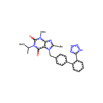 CCCCc1nc2c(c(=O)n(C(C)OC)c(=O)n2OC)n1Cc1ccc(-c2ccccc2-c2nnn[nH]2)cc1